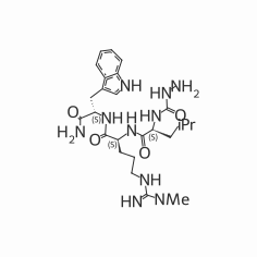 CNC(=N)NCCC[C@H](NC(=O)[C@H](CC(C)C)NC(=O)NN)C(=O)N[C@@H](Cc1c[nH]c2ccccc12)C(N)=O